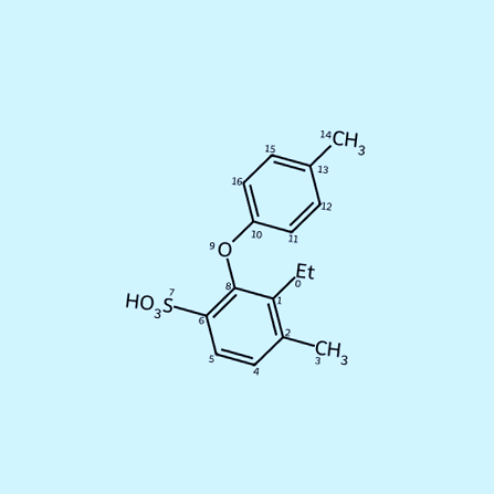 CCc1c(C)ccc(S(=O)(=O)O)c1Oc1ccc(C)cc1